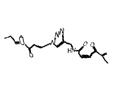 CCCOC(=O)CCn1cc(CNC(=O)/C=C\C(=O)C(C)C)nn1